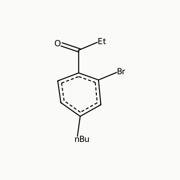 CCCCc1ccc(C(=O)CC)c(Br)c1